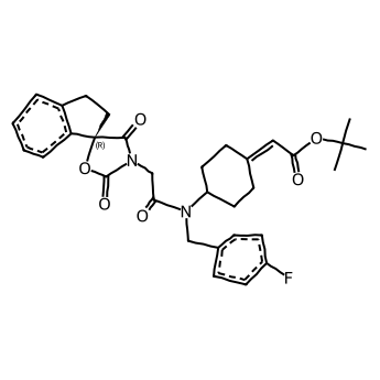 CC(C)(C)OC(=O)C=C1CCC(N(Cc2ccc(F)cc2)C(=O)CN2C(=O)O[C@@]3(CCc4ccccc43)C2=O)CC1